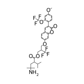 COc1ccc(-c2cc3ccc(OCC(COC(=O)C(CC(C)(C)N)C(C)C)C(F)(F)F)cc3oc2=O)c(OC(F)(F)F)c1